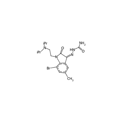 Cc1cc(Br)c2c(c1)C(=NNC(N)=O)C(=O)N2CCN(C(C)C)C(C)C